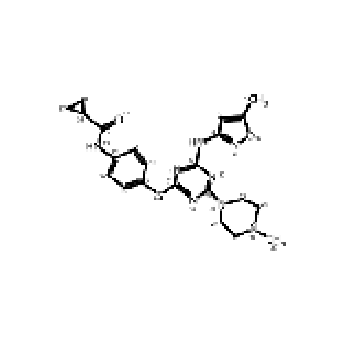 Cc1cc(Nc2nc(Sc3ccc(NC(=O)C4CC4)cc3)nc(N3CCN(C)CC3)n2)no1